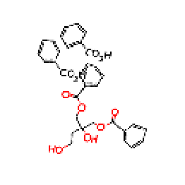 O=C(O)c1ccccc1.O=C(O)c1ccccc1.O=C(OCC(O)(CCO)COC(=O)c1ccccc1)c1ccccc1